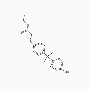 CCOC(=O)COc1ccc(C(C)(C)c2ccc(O)cc2)cc1